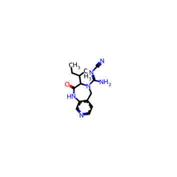 CCC(C)C1C(=O)Nc2cnccc2CN1C(N)=NC#N